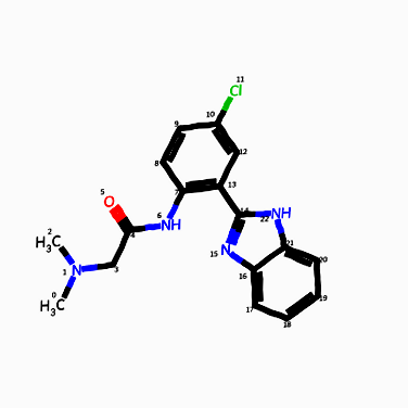 CN(C)CC(=O)Nc1ccc(Cl)cc1-c1nc2ccccc2[nH]1